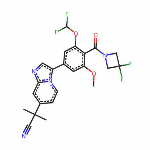 COc1cc(-c2cnc3cc(C(C)(C)C#N)ccn23)cc(OC(F)F)c1C(=O)N1CC(F)(F)C1